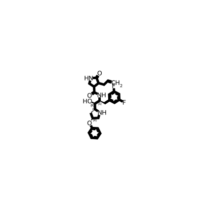 C=CCC1C(=O)NCC1C(=O)N[C@@H](Cc1cc(F)cc(F)c1)[C@H](O)[C@H]1C[C@@H](Oc2ccccc2)CN1